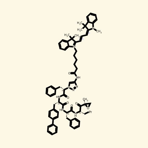 CC(C)C[C@H](NC(=O)[C@H](Cc1ccccc1)NC(=O)[C@H](Cc1ccc(-c2ccccc2)cc1)NC(=O)[C@H](Cc1ccccc1)n1cc(NC(=O)CCCCC[N+]2=C(/C=C/C=C3/N(C)c4ccccc4C3(C)C)C(C)(C)c3ccccc32)nn1)C(=O)[C@@]1(C)CO1